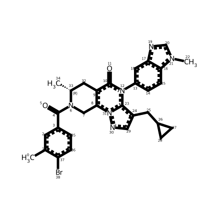 Cc1cc(C(=O)N2Cc3c(c(=O)n(-c4ccc5c(c4)ncn5C)c4c(CC5CC5)cnn34)C[C@H]2C)ccc1Br